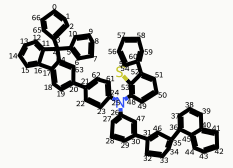 c1ccc(C2(c3ccccc3)c3ccccc3-c3ccc(-c4ccc(N(c5cccc(-c6cccc(-c7cccc8ccccc78)c6)c5)c5cccc6c5sc5ccccc56)cc4)cc32)cc1